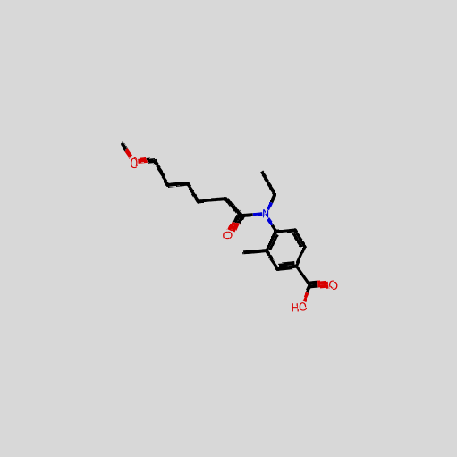 CCN(C(=O)CCCCCOC)c1ccc(C(=O)O)cc1C